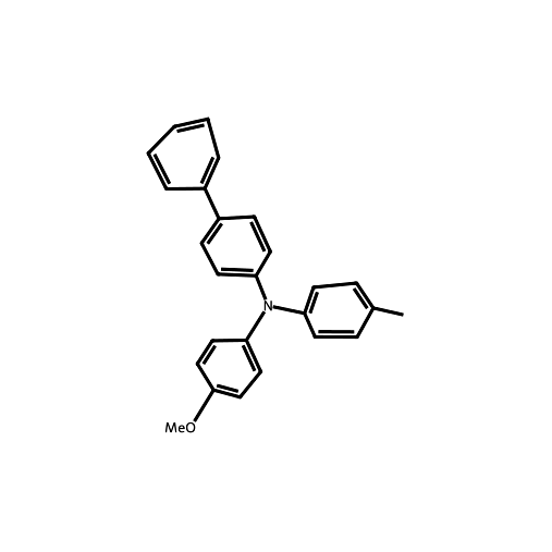 COc1ccc(N(c2ccc(C)cc2)c2ccc(-c3ccccc3)cc2)cc1